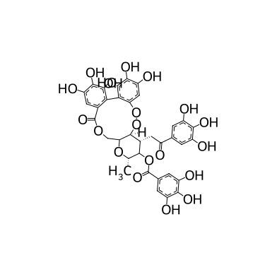 C[C@@H]1OC2COC(=O)c3cc(O)c(O)c(O)c3-c3c(cc(O)c(O)c3O)OO[C@H]2[C@H](CC(=O)c2cc(O)c(O)c(O)c2)C1OC(=O)c1cc(O)c(O)c(O)c1